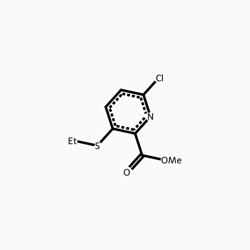 CCSc1ccc(Cl)nc1C(=O)OC